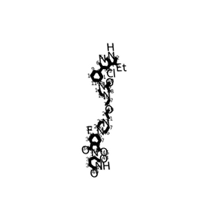 CCc1c[nH]c2ncc(-c3cccc(N4CCN(CCOCCN5CCN(c6cc7c(cc6F)C(=O)N(C6CCC(=O)NC6=O)C7=O)CC5)CC4=O)c3)c(Cl)c12